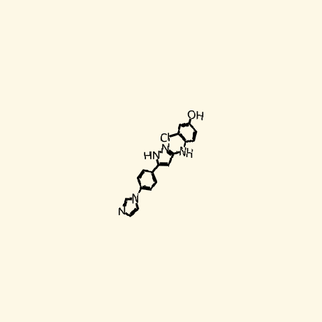 Oc1ccc(Nc2cc(-c3ccc(-n4ccnc4)cc3)[nH]n2)c(Cl)c1